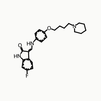 O=C1Nc2cc(F)ccc2C1=CNc1ccc(OCCCCN2CCCCC2)cc1